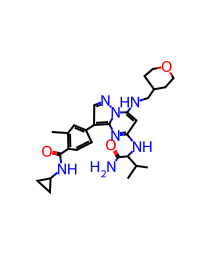 Cc1cc(-c2cnn3c(NCC4CCOCC4)cc(NC(C(N)=O)C(C)C)nc23)ccc1C(=O)NC1CC1